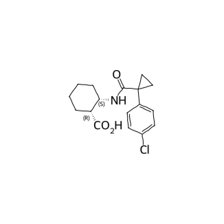 O=C(O)[C@@H]1CCCC[C@@H]1NC(=O)C1(c2ccc(Cl)cc2)CC1